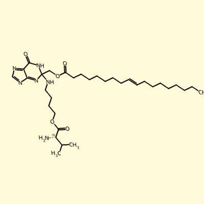 CCCCCCCCC=CCCCCCCCC(=O)OCC1(NCCCCOC(=O)[C@@H](N)C(C)C)N=C2N=CN=C2C(=O)N1